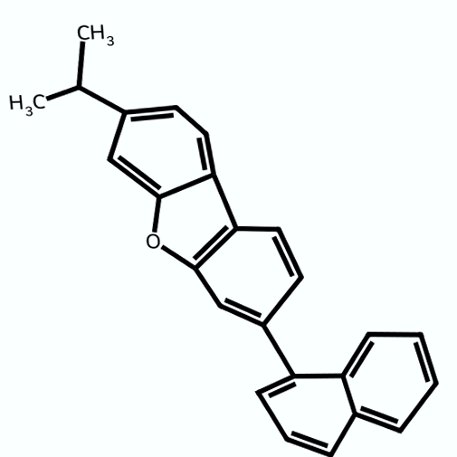 CC(C)c1ccc2c(c1)oc1cc(-c3cccc4ccccc34)ccc12